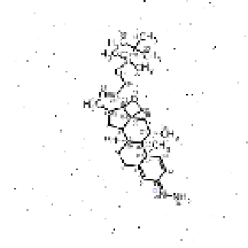 C[C@@H]1CC2[C@@H]3CCC4=C/C(=N/N)C=C[C@]4(C)C3[C@@H](C)C[C@@]23CO[C@]13C(=O)CO[Si](C)(C)C(C)(C)C